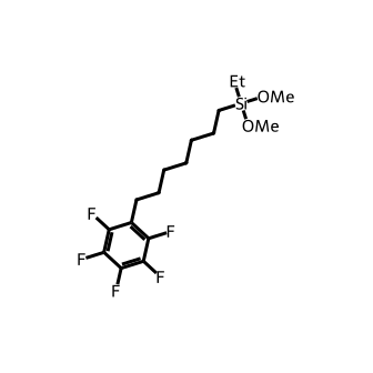 CC[Si](CCCCCCCc1c(F)c(F)c(F)c(F)c1F)(OC)OC